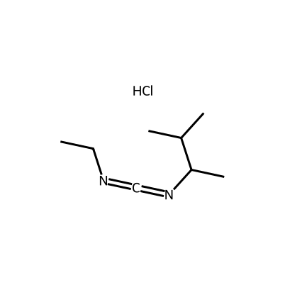 CCN=C=NC(C)C(C)C.Cl